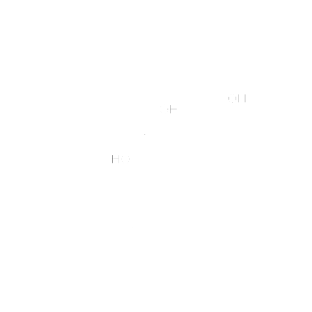 OCCC(c1ccccc1)C(O)(O)c1ccccc1